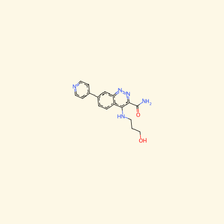 NC(=O)c1nnc2cc(-c3ccncc3)ccc2c1NCCCO